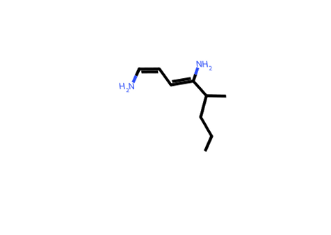 CCCC(C)/C(N)=C/C=C\N